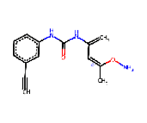 C#Cc1cccc(NC(=O)NC(=C)/C=C(/C)ON)c1